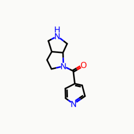 O=C(c1ccncc1)N1CCC2CNCC21